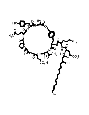 CC(C)CCCCCCCCCCCC(O)CC(=O)NC(CCC(=O)O)C(=O)NC(CCCN)C(=O)NC1Cc2ccc(cc2)OC(=O)C(C(C)C)NC(=O)C(Cc2ccc(O)cc2)NC(=O)C(CCC(N)=O)NC(=O)C2CCCN2C(=O)C(C(C)C)NC(=O)C(CCC(=O)O)NC(=O)C(C(C)O)NC1=O